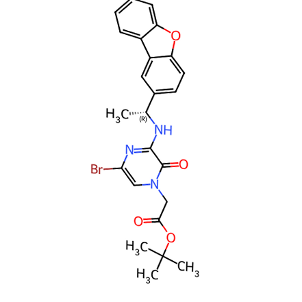 C[C@@H](Nc1nc(Br)cn(CC(=O)OC(C)(C)C)c1=O)c1ccc2oc3ccccc3c2c1